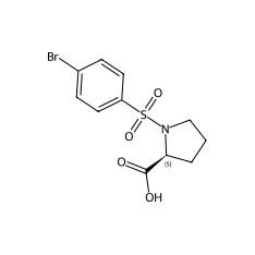 O=C(O)[C@@H]1CCCN1S(=O)(=O)c1ccc(Br)cc1